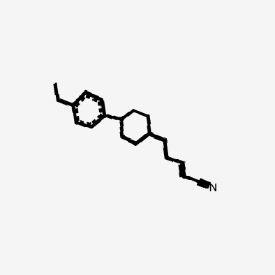 CCc1ccc(C2CCC(CCC=CC#N)CC2)cc1